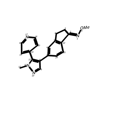 CON=C1CCc2cc(-c3cnn(C)c3-c3ccncc3)ccc21